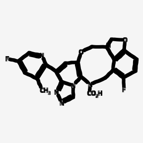 Cc1cc(F)cnc1-c1cc2c(n3cnnc13)N(C(=O)O)Cc1c(F)ccc3c1[C@@H](CO3)CO2